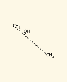 CCCCCCCCCCCCCCCCCCC(CO)CCCCCCCC